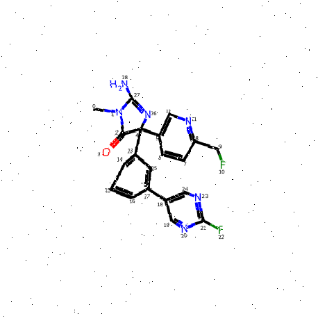 CN1C(=O)C(c2ccc(CF)nc2)(c2cccc(-c3cnc(F)nc3)c2)N=C1N